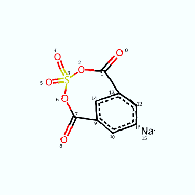 O=C1OS(=O)(=O)OC(=O)c2cccc1c2.[Na]